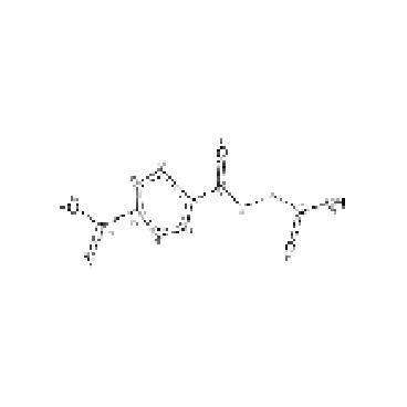 O=C(O)CCC(=O)c1ccc(C(=O)O)cc1